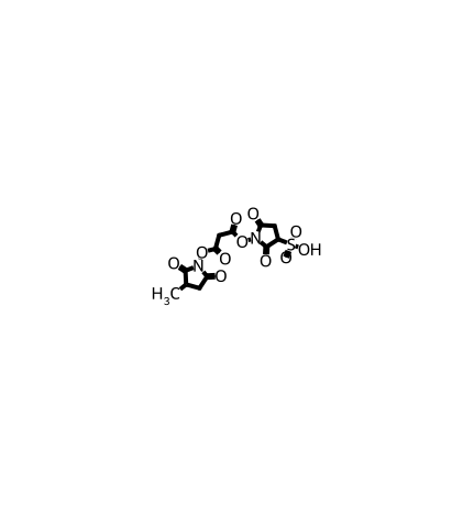 CC1CC(=O)N(OC(=O)CC(=O)ON2C(=O)CC(S(=O)(=O)O)C2=O)C1=O